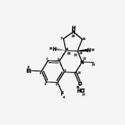 CCc1cc(F)c2c(c1)[C@H]1CNC[C@@H]1N(C)C2=O.Cl